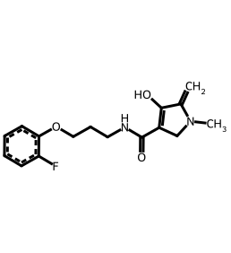 C=C1C(O)=C(C(=O)NCCCOc2ccccc2F)CN1C